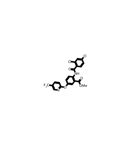 COC(=O)c1cc(Oc2ccc(C(F)(F)F)cn2)ccc1NC(=O)c1ccc(Cl)cc1Cl